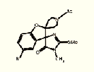 CSC1=NC2(C(=O)N1C)c1cc(Br)ccc1OC21CCN(C(C)=O)CC1